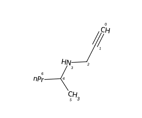 C#CCNC(C)CCC